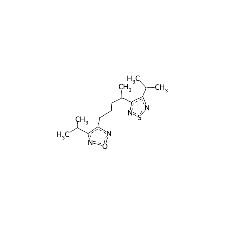 CC(C)c1nonc1CCCC(C)c1nsnc1C(C)C